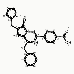 O=C(O)c1ccc(-c2cn3c(=O)c(Cc4ccco4)nc-3c(Cc3ccccc3)[nH]2)cc1